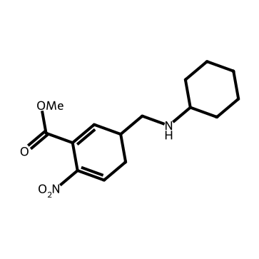 COC(=O)C1=CC(CNC2CCCCC2)CC=C1[N+](=O)[O-]